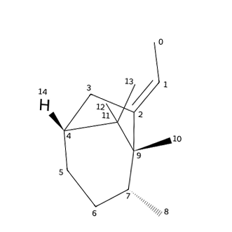 C/C=C1\C[C@H]2CC[C@@H](C)[C@]1(C)C2(C)C